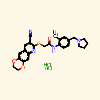 Cc1cc(CN2CCCC2)ccc1NC(=O)CSc1nc2cc3c(cc2cc1C#N)OCCO3.Cl.Cl